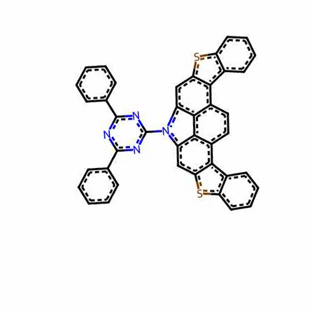 c1ccc(-c2nc(-c3ccccc3)nc(-n3c4cc5sc6ccccc6c5c5ccc6c7c(cc3c6c54)sc3ccccc37)n2)cc1